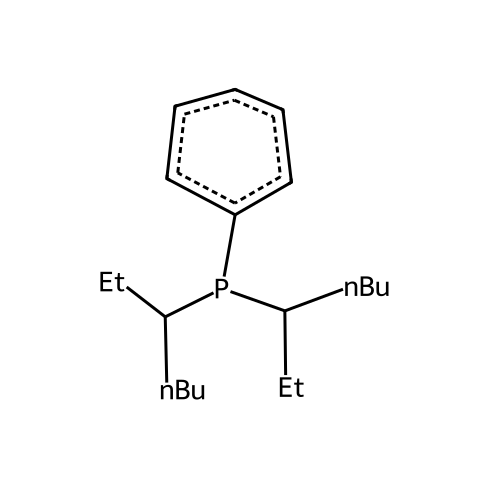 CCCCC(CC)P(c1ccccc1)C(CC)CCCC